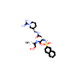 N=C(N)N1CCC[C@@H](CNC(=O)C[C@H](NS(=O)(=O)c2ccc3ccccc3c2)C(=O)N[C@@H](CO)C(=O)O)C1